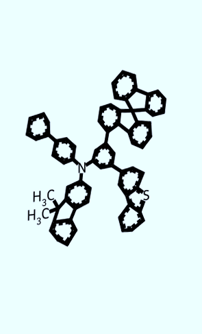 CC1(C)c2ccccc2-c2ccc(N(c3ccc(-c4ccccc4)cc3)c3cc(-c4ccc5sc6ccccc6c5c4)cc(-c4cccc5c4-c4ccccc4C54c5ccccc5-c5ccccc54)c3)cc21